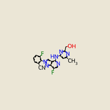 Cc1cc(Nc2ncc(F)c3nn(-c4c(F)cccc4C#N)cc23)nc(CO)n1